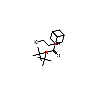 CC(C)(C)C[C@H](CO)NC1C2CC1CN(C(=O)OC(C)(C)C)C2